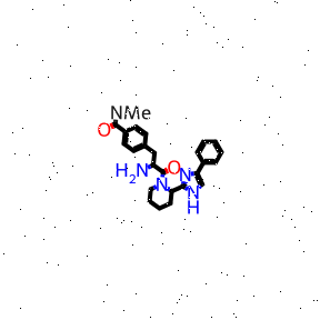 CNC(=O)c1ccc(CC(N)C(=O)N2CCCCC2c2nc(-c3ccccc3)c[nH]2)cc1